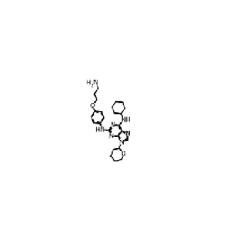 NCCCOc1ccc(Nc2nc(NC3CCCCC3)c3ncn(C4CCCCO4)c3n2)cc1